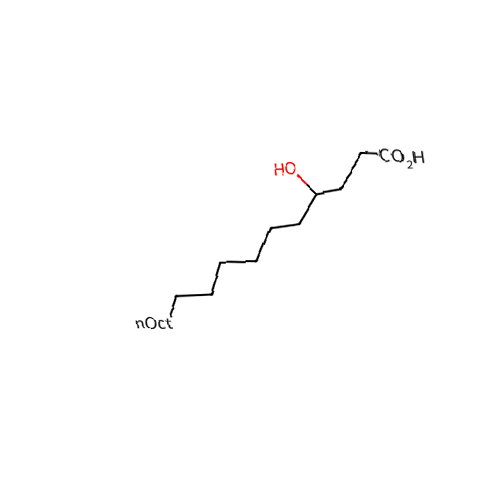 CCCCCCCCCCCCCCC(O)CCC(=O)O